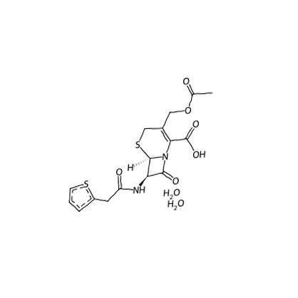 CC(=O)OCC1=C(C(=O)O)N2C(=O)[C@@H](NC(=O)Cc3cccs3)[C@H]2SC1.O.O